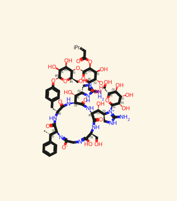 CC(C)CC(=O)O[C@@H]1[C@@H](O[C@H]2[C@H](O)[C@H](O)[C@@H](Oc3ccc(C[C@H]4NC(=O)[C@H]([C@@H](C)c5ccccc5)N=C([O-])CN=C(O)[C@H](CO)NC(=O)[C@@H]([C@H](O)[C@@H]5CNC(N)=[N+]5[C@H]5O[C@H](CO)[C@@H](O)[C@H](O)[C@@H]5O)NC(=O)[C@H]([C@H](O)[C@@H]5CN=C(N)N5)NC4=O)cc3)O[C@@H]2CO)O[C@H](CO)[C@@H](O)[C@@H]1O